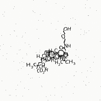 C=C(C)[C@@H]1CC[C@]2(CC(=O)NCCOCCO)CC[C@]3(C)[C@H](CC[C@@H]4[C@@]5(C)CC[C@H](OC(=O)CC(C)(C)CC(=O)O)C(C)(C)[C@@H]5CC[C@]43C)[C@@H]12